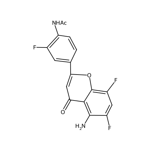 CC(=O)Nc1ccc(-c2cc(=O)c3c(N)c(F)cc(F)c3o2)cc1F